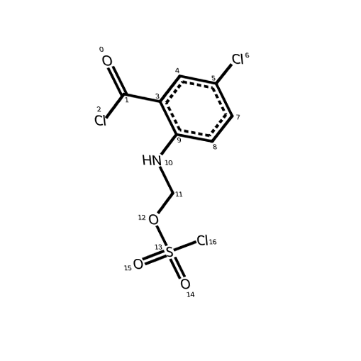 O=C(Cl)c1cc(Cl)ccc1NCOS(=O)(=O)Cl